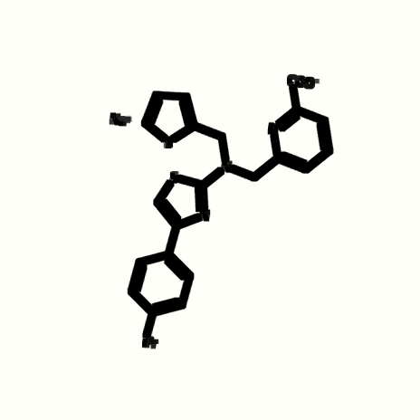 CC(C)c1ccc(-c2csc(N(Cc3cccc(C(=O)[O-])n3)Cc3cccs3)n2)cc1.[Na+]